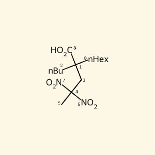 CCCCCCC(CCCC)(CC(C)([N+](=O)[O-])[N+](=O)[O-])C(=O)O